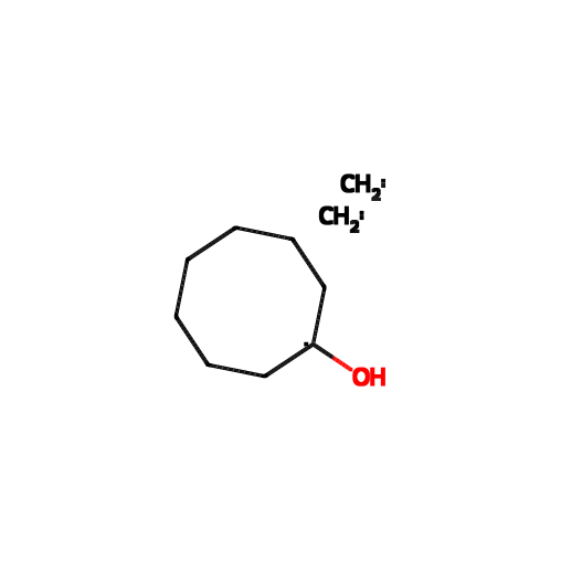 O[C]1CCCCCCC1.[CH2].[CH2]